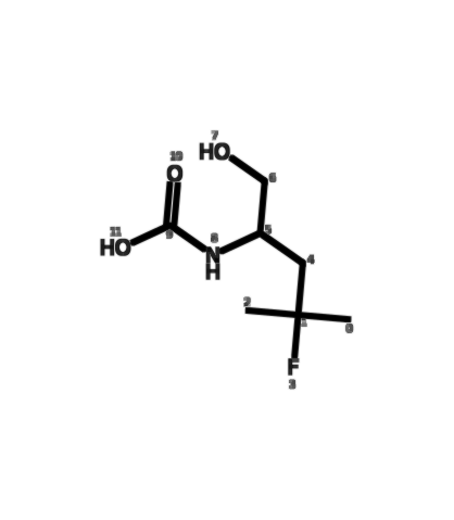 CC(C)(F)CC(CO)NC(=O)O